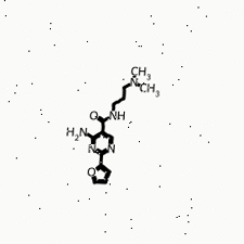 CN(C)CCCNC(=O)c1cnc(-c2ccco2)nc1N